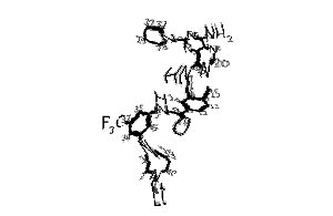 CCN1CCN(c2cc(NC(=O)c3ccc(C)c(Nc4ncnc5c(N)nc(N6CCCC6)nc45)c3)cc(C(F)(F)F)c2)CC1